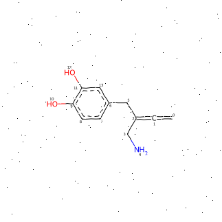 C=C=C(CN)Cc1ccc(O)c(O)c1